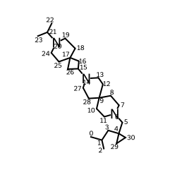 CC(C)CC1(CN2CCC3(CC2)CCN(C2CC4(CCN(C(C)C)CC4)C2)CC3)CC1